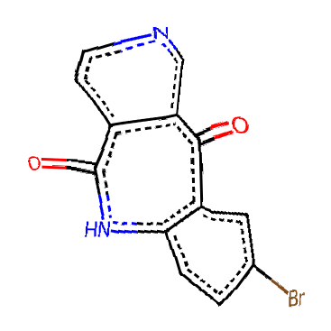 O=c1[nH]c2ccc(Br)cc2c(=O)c2cnccc12